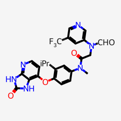 CC(C)c1cc(N(C)C(=O)CN(C=O)c2cncc(C(F)(F)F)c2)ccc1Oc1ccnc2[nH]c(=O)[nH]c12